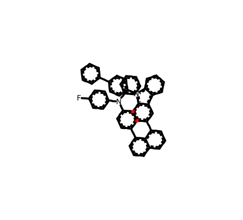 Fc1ccc(N(c2ccccc2)c2ccc(-c3cccc4cccc(-c5ccc6c(c5)c5ccccc5n6-c5ccc(-c6ccccc6)cc5)c34)cc2)cc1